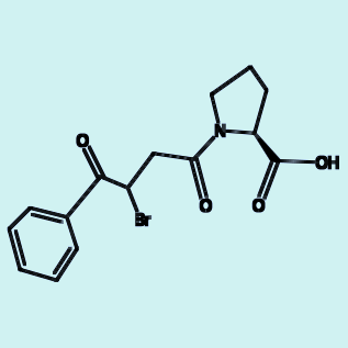 O=C(c1ccccc1)C(Br)CC(=O)N1CCC[C@H]1C(=O)O